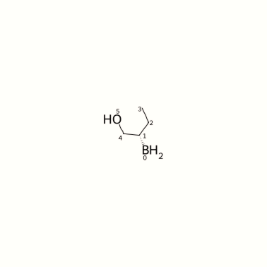 B[C@@H](CC)CO